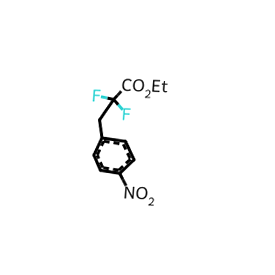 CCOC(=O)C(F)(F)Cc1ccc([N+](=O)[O-])cc1